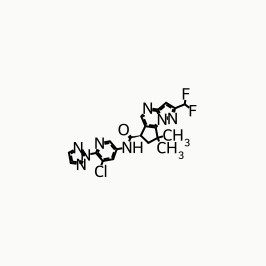 CC1(C)C[C@@H](C(=O)Nc2cnc(-n3nccn3)c(Cl)c2)c2cnc3cc(C(F)F)nn3c21